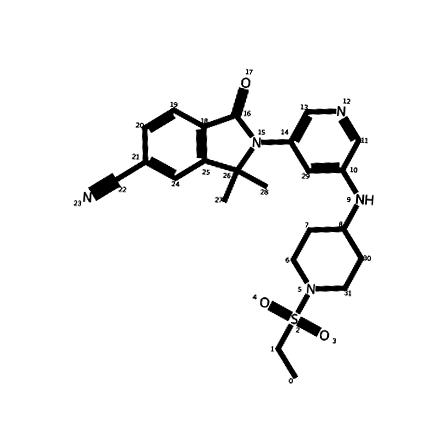 CCS(=O)(=O)N1CCC(Nc2cncc(N3C(=O)c4ccc(C#N)cc4C3(C)C)c2)CC1